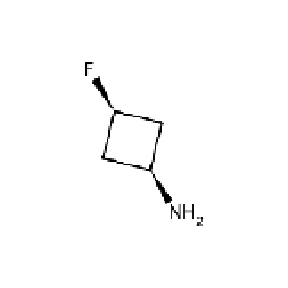 N[C@H]1C[C@@H](F)C1